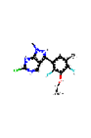 COCOc1c(F)c(-c2nn(C)c3nc(Cl)ncc23)cc(C(F)(F)F)c1F